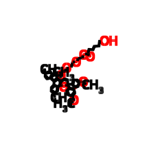 COc1ccc(C2(c3ccc(OC)cc3)C=Cc3c4c(c5ccc(C)cc5c3O2)-c2ccc(C)cc2C4(C)OCCOCCOCCOC(=O)CCCCCO)cc1